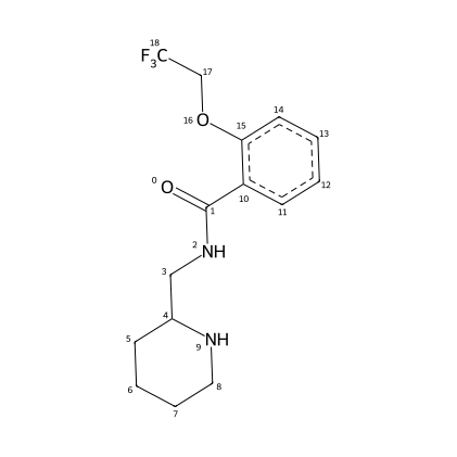 O=C(NCC1CCCCN1)c1ccccc1OCC(F)(F)F